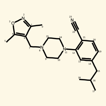 Cc1noc(C)c1CN1CCN(c2cc(CC(C)C)ccc2C#N)CC1